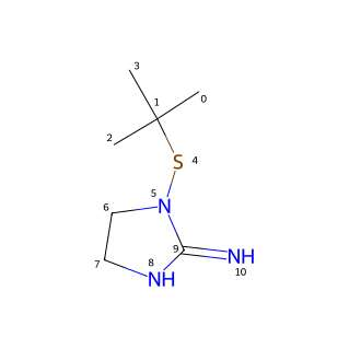 CC(C)(C)SN1CCNC1=N